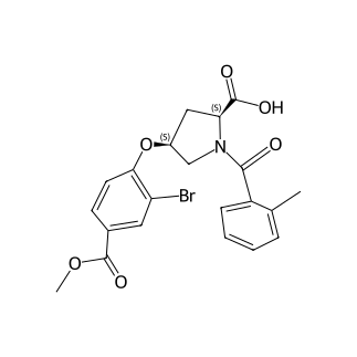 COC(=O)c1ccc(O[C@H]2C[C@@H](C(=O)O)N(C(=O)c3ccccc3C)C2)c(Br)c1